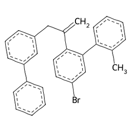 C=C(Cc1cccc(-c2ccccc2)c1)c1ccc(Br)cc1-c1ccccc1C